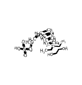 C=C.C=C.C=C.C=C.C=C.CCOCC.COS(=O)(=O)O.OCCO